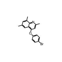 Cc1cc(C)c2nc(C)cc(Oc3ccc(Br)cc3)c2c1